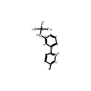 [CH2]c1ccc(-c2cccc(OC(F)(F)F)c2)nc1